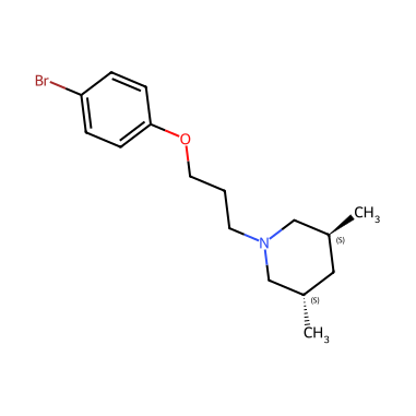 C[C@H]1C[C@H](C)CN(CCCOc2ccc(Br)cc2)C1